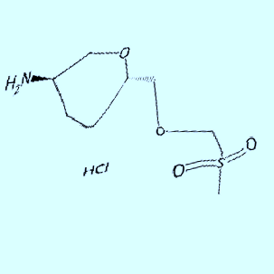 CS(=O)(=O)COC[C@@H]1CC[C@@H](N)CO1.Cl